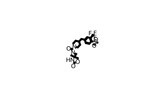 CS(=O)(=O)c1ccc(CC2CCN(C(=O)N3CC4(COC(=O)N4)C3)CC2)cc1C(F)(F)F